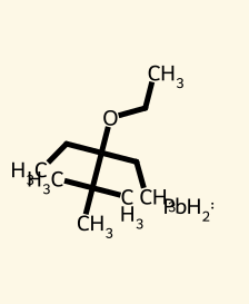 CCOC(CC)(CC)C(C)(C)C.[PbH2]